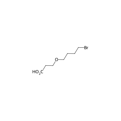 O=C(O)CCOCCCCBr